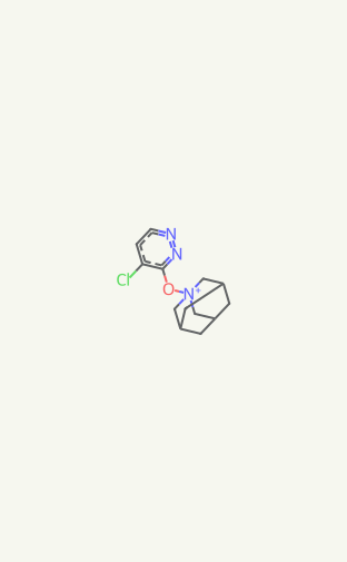 Clc1ccnnc1O[N+]12CC3CC(CC(C3)C1)C2